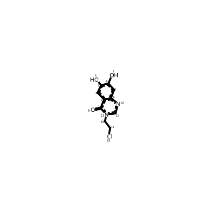 O=c1c2cc(O)c(O)cc2ncn1CCCl